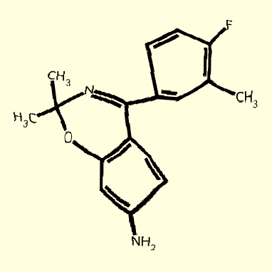 Cc1cc(C2=NC(C)(C)Oc3cc(N)ccc32)ccc1F